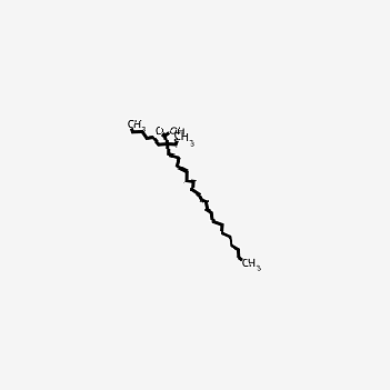 CCCCCCCCCCCCCCCCCCCCC(CC)(CCCCCC)C(=O)O